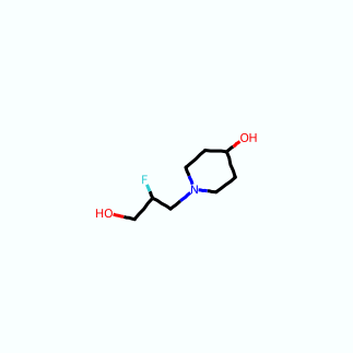 OCC(F)CN1CCC(O)CC1